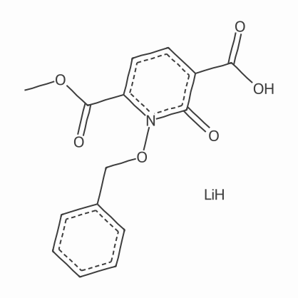 COC(=O)c1ccc(C(=O)O)c(=O)n1OCc1ccccc1.[LiH]